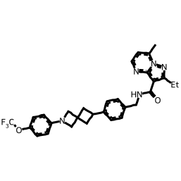 CCc1nn2c(C)ccnc2c1C(=O)NCc1ccc(C2CC3(C2)CN(c2ccc(OC(F)(F)F)cc2)C3)cc1